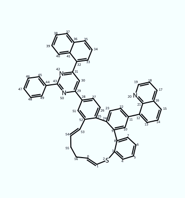 C1=C/Sc2ccccc2-c2cc(-c3cccc4cccnc34)ccc2-c2ccc(-c3cc(-c4cccc5ccccc45)nc(-c4ccccc4)n3)cc2/C=C/CC/1